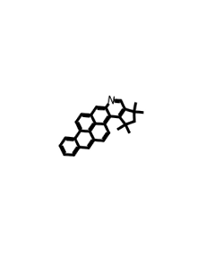 CC1(C)CC(C)(C)c2c1cnc1cc3ccc4c5ccccc5cc5ccc(c21)c3c54